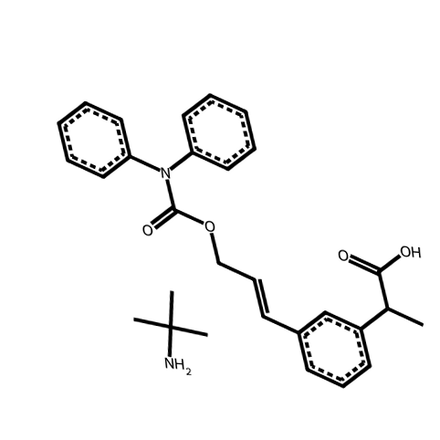 CC(C(=O)O)c1cccc(C=CCOC(=O)N(c2ccccc2)c2ccccc2)c1.CC(C)(C)N